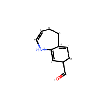 O=CC1C=C2NC=CCCC2=CC1